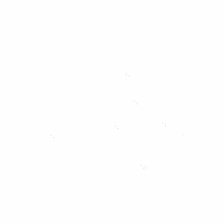 CC(C)NC(c1nc(-c2ccncc2)c(-c2ccc(Cl)c(Cl)c2)c2nccn12)C(C)(C)N